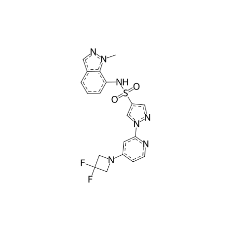 Cn1ncc2cccc(NS(=O)(=O)c3cnn(-c4cc(N5CC(F)(F)C5)ccn4)c3)c21